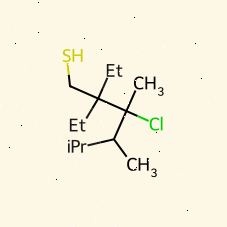 CCC(CC)(CS)C(C)(Cl)C(C)C(C)C